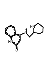 O=c1cc(NCC2CCCCN2)c2ccccc2[nH]1